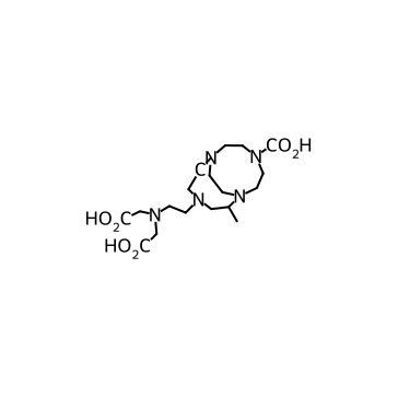 CC1CN(CCN(CC(=O)O)CC(=O)O)CCN2CCN(C(=O)O)CCN1CC2